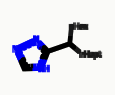 CCCCCCCC(CCCCCC)c1nnc[nH]1